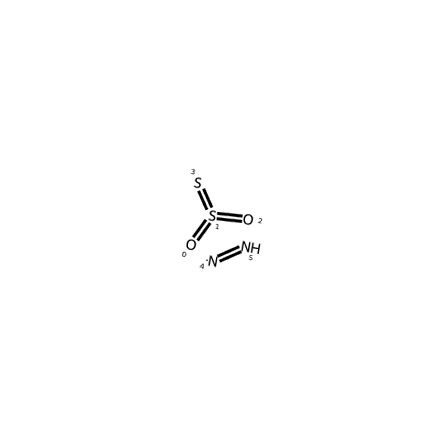 O=S(=O)=S.[N]=N